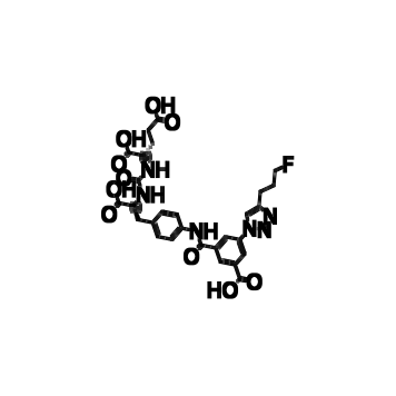 O=C(O)CC[C@H](NC(=O)N[C@@H](Cc1ccc(NC(=O)c2cc(C(=O)O)cc(-n3cc(CCCF)nn3)c2)cc1)C(=O)O)C(=O)O